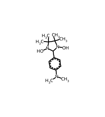 CN(C)c1ccc(C2N(O)C(C)(C)C(C)(C)N2O)cc1